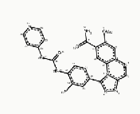 COc1cc2ncc3nnc(-c4ccc(NC(=O)Nc5ccncc5)c(F)c4)n3c2cc1C(N)=O